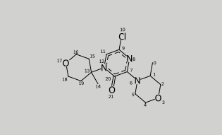 CC1COCCN1c1nc(Cl)cn(C2(C)CCOCC2)c1=O